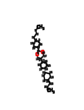 CCCCc1ccc(C2OCC(c3ccc([C@H]4CC[C@H](CCC)CC4)cc3)CO2)cc1